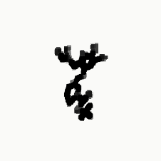 CC(C)(C)OC(=O)N1CCC[C@@H](COc2cc(Br)c(Cl)nc2CNC=O)C1